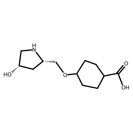 O=C(O)C1CCC(OC[C@@H]2C[C@H](O)CN2)CC1